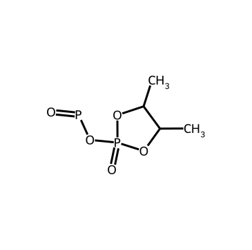 CC1OP(=O)(OP=O)OC1C